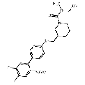 COc1cc(F)c(F)cc1-c1ccc(OCC2CCCN(C(=O)N(C)CC#N)C2)cc1